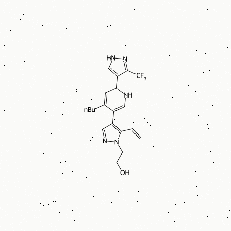 C=Cc1c(C2=CNC(c3c[nH]nc3C(F)(F)F)C=C2CCCC)cnn1CCO